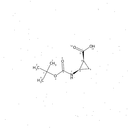 CC(C)(C)OC(=O)N[C@@H]1C[C@@H]1C(=O)O